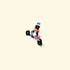 C[C@H]1CCN(S(=O)(=O)N2CCc3cc(Cl)ccc3C2)CCCN(CC2CCCCC2)CCCN1S(=O)(=O)c1ccc(N(C)C)cc1